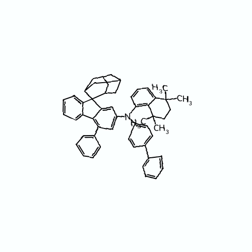 CC1(C)CCC(C)(C)c2c(N(c3ccc(-c4ccccc4)cc3)c3cc(-c4ccccc4)c4c(c3)C3(c5ccccc5-4)C4CC5CC(C4)CC3C5)cccc21